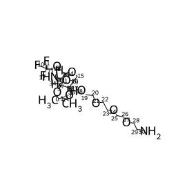 CC1(C)O[C@@H]2[C@@H](NC(=O)C(F)(F)F)[C@@H]3OC[C@](COCCOCCOCCOCCN)(O3)[C@@H]2O1